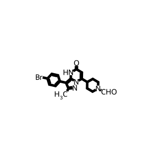 Cc1nn2c(C3CCN(C=O)CC3)cc(=O)[nH]c2c1-c1ccc(Br)cc1